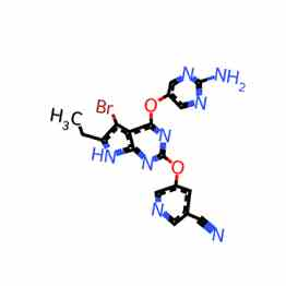 CCc1[nH]c2nc(Oc3cncc(C#N)c3)nc(Oc3cnc(N)nc3)c2c1Br